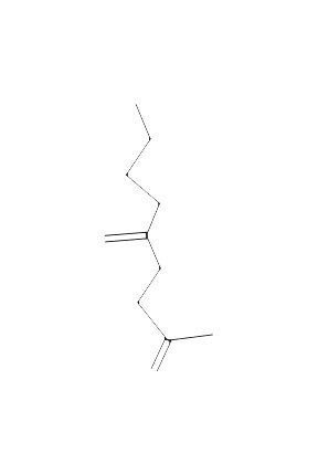 C=C(C)CCC(=C)CCCF